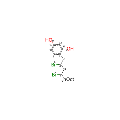 CCCCCCCCC(Br)CC(Br)Cc1ccc(O)cc1O